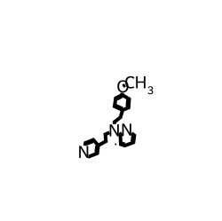 COc1ccc(CCN(CCc2ccncc2)c2[c]cccn2)cc1